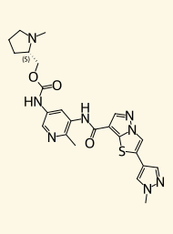 Cc1ncc(NC(=O)OC[C@@H]2CCCN2C)cc1NC(=O)c1cnn2cc(-c3cnn(C)c3)sc12